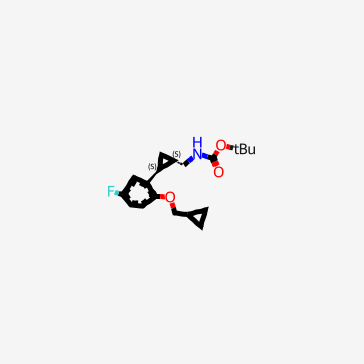 CC(C)(C)OC(=O)NC[C@H]1C[C@@H]1c1cc(F)ccc1OCC1CC1